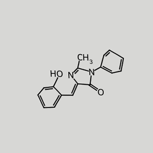 CC1=NC(=Cc2ccccc2O)C(=O)N1c1ccccc1